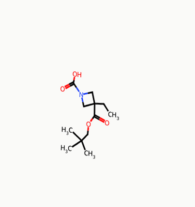 CCC1(C(=O)OCC(C)(C)C)CN(C(=O)O)C1